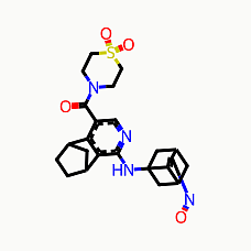 O=NC1=C2C3CC(C1)CC2(Nc1ncc(C(=O)N2CCS(=O)(=O)CC2)c2c1C1CCC2C1)C3